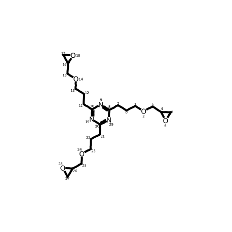 C(COCC1CO1)Cc1nc(CCCOCC2CO2)nc(CCCOCC2CO2)n1